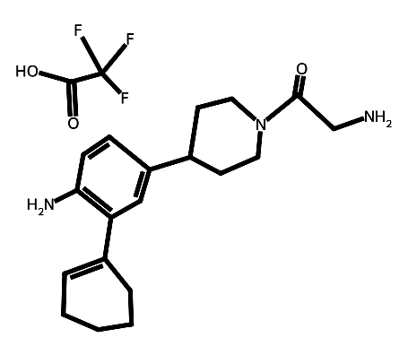 NCC(=O)N1CCC(c2ccc(N)c(C3=CCCCC3)c2)CC1.O=C(O)C(F)(F)F